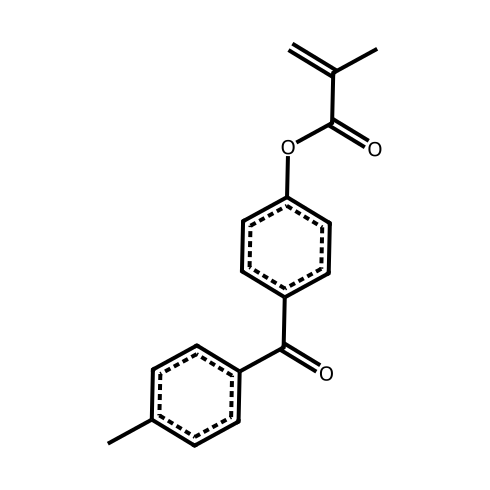 C=C(C)C(=O)Oc1ccc(C(=O)c2ccc(C)cc2)cc1